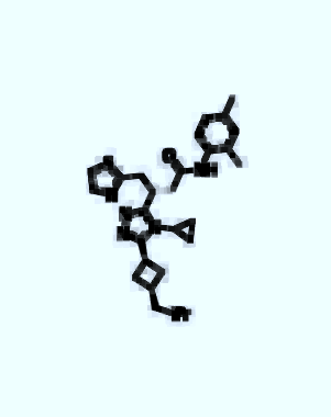 Cc1ccc(NC(=O)C[C@@H](Cc2nccs2)c2nnc([C@H]3C[C@@H](CC(C)C)C3)n2C2CC2)c(C)c1